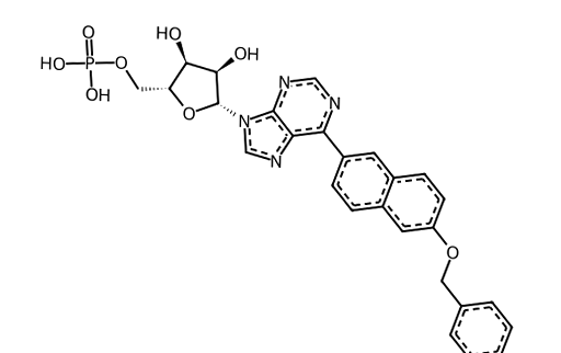 O=P(O)(O)OC[C@H]1O[C@@H](n2cnc3c(-c4ccc5cc(OCc6ccccc6)ccc5c4)ncnc32)[C@H](O)[C@@H]1O